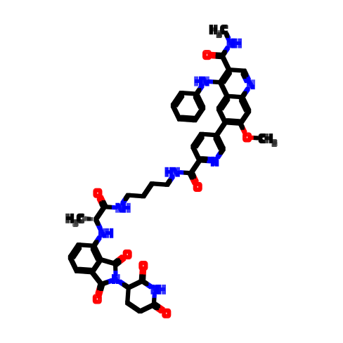 CNC(=O)c1cnc2cc(OC)c(-c3ccc(C(=O)NCCCCNC(=O)[C@@H](C)Nc4cccc5c4C(=O)N(C4CCC(=O)NC4=O)C5=O)nc3)cc2c1Nc1ccccc1